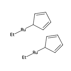 C[CH2][Ru][CH]1C=CC=C1.C[CH2][Ru][CH]1C=CC=C1